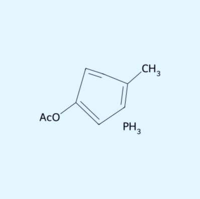 CC(=O)Oc1ccc(C)cc1.P